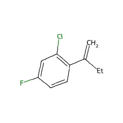 C=C(CC)c1ccc(F)cc1Cl